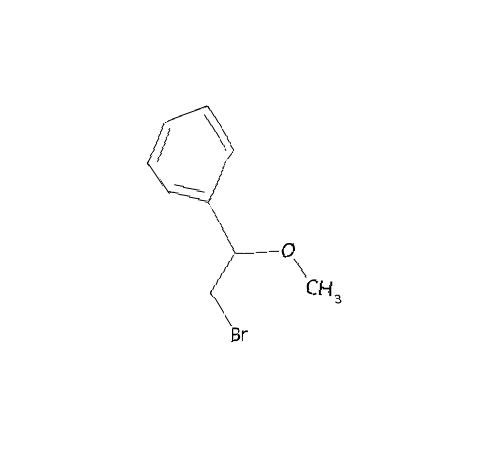 COC(CBr)c1ccccc1